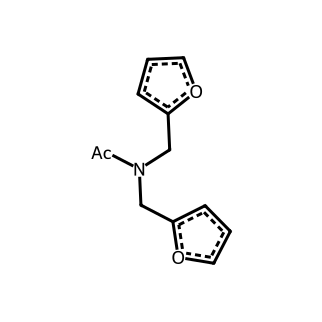 CC(=O)N(Cc1ccco1)Cc1ccco1